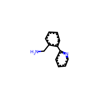 NCc1ccccc1-c1ccccn1